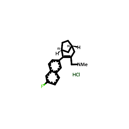 CNCC1=C(c2ccc3cc(F)ccc3c2)[C@H]2CC[C@H](C1)C2.Cl